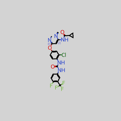 C=N/C(=C\C(=N/C)Oc1ccc(NC(=O)Nc2ccc(F)c(C(F)(F)F)c2)c(Cl)c1)NC(=O)C1CC1